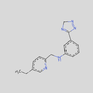 CCc1ccc(CNc2cccc(C3=NCN=N3)c2)nc1